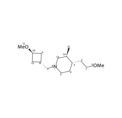 COCC[C@@H]1CCN(C[C@H]2C[C@H](OC)C2)C[C@H]1C